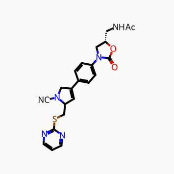 CC(=O)NC[C@H]1CN(c2ccc(C3=CC(CSc4ncccn4)N(C#N)C3)cc2)C(=O)O1